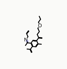 C=CC/N=C(/C)c1cc(C(=C)CCCOCCC)c(C)cc1C(=C)C